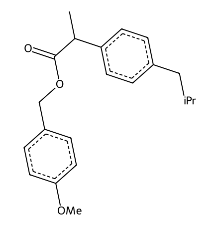 COc1ccc(COC(=O)C(C)c2ccc(CC(C)C)cc2)cc1